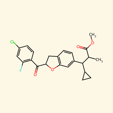 COC(=O)C(C)C(c1ccc2c(c1)OC(C(=O)c1ccc(Cl)cc1F)C2)C1CC1